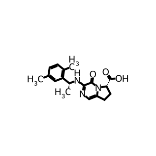 Cc1ccc(C)c([C@@H](C)Nc2ncc3n(c2=O)[C@H](C(=O)O)CC3)c1